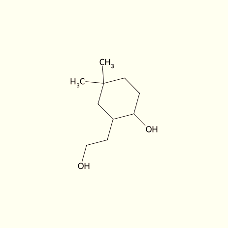 CC1(C)CCC(O)C(CCO)C1